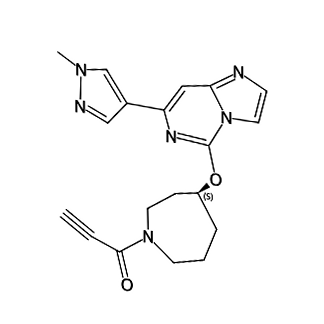 C#CC(=O)N1CCC[C@H](Oc2nc(-c3cnn(C)c3)cc3nccn23)CC1